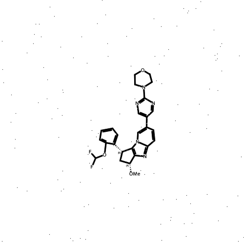 CO[C@@H]1C[C@H](c2ccccc2OC(F)F)c2c1nc1ccc(-c3cnc(N4CCOCC4)nc3)cn21